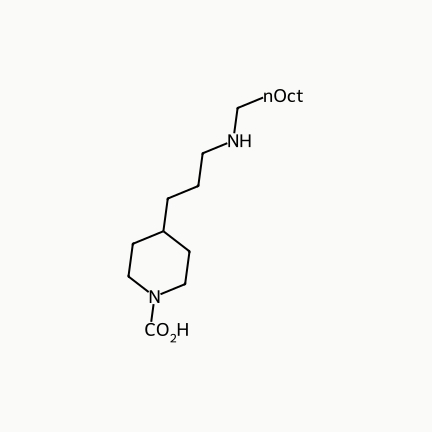 CCCCCCCCCNCCCC1CCN(C(=O)O)CC1